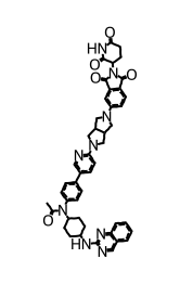 CC(=O)N(c1ccc(-c2ccc(N3CC4CN(c5ccc6c(c5)C(=O)N(C5CCC(=O)NC5=O)C6=O)CC4C3)nc2)cc1)C1CCC(Nc2ncc3ccccc3n2)CC1